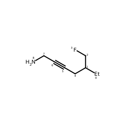 CCC(CF)CC#CCN